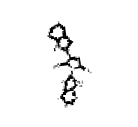 O=C1C=C(c2cc3cccnc3[nH]2)C(=O)N1c1cc2cccnc2[nH]1